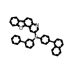 c1ccc(-c2cccc(N(c3ccc(-c4cccc5ccccc45)cc3)c3cnc4ccc5c6ccccc6oc5c4c3)c2)cc1